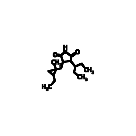 CCC(CC)C1C(=O)NC(=O)C1CC1(C)CC1CC